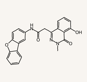 Cn1nc(CC(=O)Nc2ccc3oc4ccccc4c3c2)c2cccc(O)c2c1=O